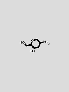 Cl.NC1CCC(CO)OC1